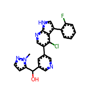 Cn1nccc1C(O)c1cncc(-c2cnc3[nH]cc(-c4ccccc4F)c3c2Cl)c1